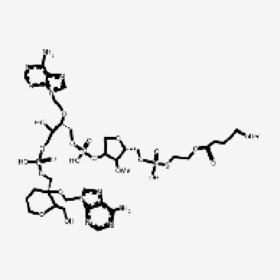 CCCCCCCCCCCCCC(=O)OCCSP(=O)(O)OC[C@H]1OCC(OP(=O)(O)OC[C@@H](OCn2cnc3c(N)ncnc32)C(O)COP(=O)(O)OC[C@]2(OCn3cnc4c(N)ncnc43)CCCOC2CO)C1OC